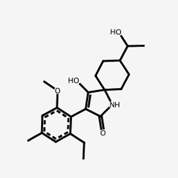 CCc1cc(C)cc(OC)c1C1=C(O)C2(CCC(C(C)O)CC2)NC1=O